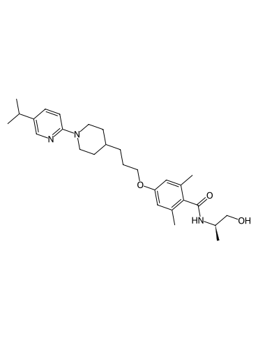 Cc1cc(OCCCC2CCN(c3ccc(C(C)C)cn3)CC2)cc(C)c1C(=O)N[C@H](C)CO